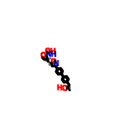 CC[C@](C)(C[C@H]1CC(c2ccc(-c3ccc(C[C@@H](C)O)cc3)cc2)=NO1)C(=O)NO